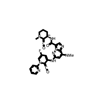 CNc1cc(NC2=CC(F)=CN(c3ccccn3)C2=C=O)nn2c(C(=O)N[C@@H]3CCCN(C)C3=C=O)cnc12